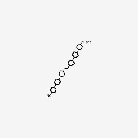 CCCCC[C@H]1CC[C@H](c2ccc(-c3ccc(CC[C@H]4CC[C@H](c5ccc(-c6ccc(C#N)cc6)cc5)CC4)cc3)cc2)CC1